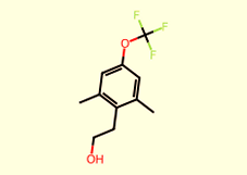 Cc1cc(OC(F)(F)F)cc(C)c1CCO